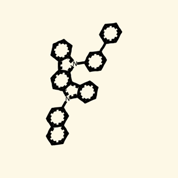 c1ccc(-c2cccc(-n3c4ccccc4c4ccc5c(c6ccccc6n5-c5ccc6ccccc6c5)c43)c2)cc1